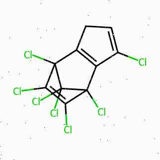 ClC1=CCC2=C1C1(Cl)C(Cl)=C(Cl)C2(Cl)C1(Cl)Cl